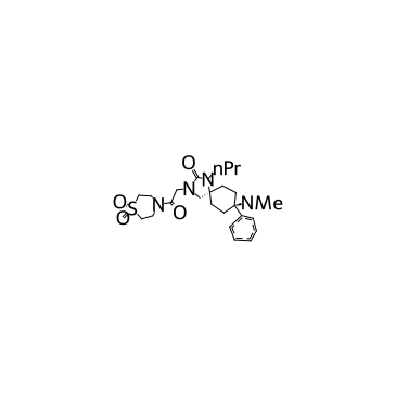 CCCN1C(=O)N(CC(=O)N2CCS(=O)(=O)CC2)C[C@]12CC[C@@](NC)(c1ccccc1)CC2